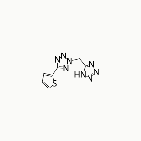 c1csc(-c2nnn(Cc3nnn[nH]3)n2)c1